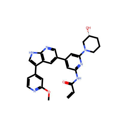 C=CC(=O)Nc1cc(-c2cnc3[nH]cc(-c4ccnc(OC)c4)c3c2)cc(N2CCC[C@@H](O)C2)n1